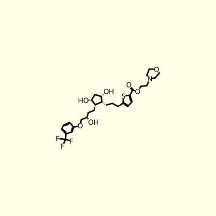 O=C(OCCN1CCOCC1)c1ccc(CCC[C@@H]2[C@@H](CC[C@@H](O)COc3cccc(C(F)(F)F)c3)[C@H](O)C[C@@H]2O)s1